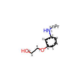 CCCNc1cccc(OCCO)c1